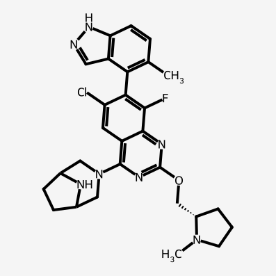 Cc1ccc2[nH]ncc2c1-c1c(Cl)cc2c(N3CC4CCC(C3)N4)nc(OC[C@@H]3CCCN3C)nc2c1F